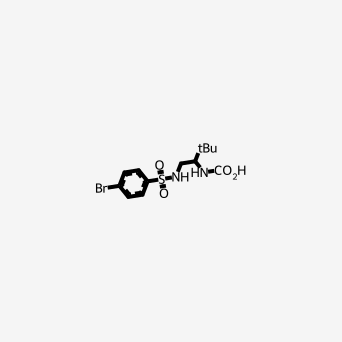 CC(C)(C)C(CNS(=O)(=O)c1ccc(Br)cc1)NC(=O)O